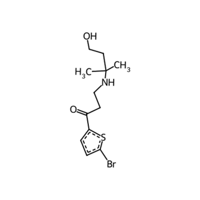 CC(C)(CCO)NCCC(=O)c1ccc(Br)s1